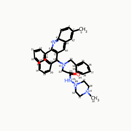 Cc1ccc2nc(-c3ccccc3)c(C(c3ccccc3)N(CC(=O)NN3CCN(C)CC3)Cc3ccccc3)cc2c1